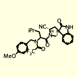 COc1ccc(CN(C(=O)C(F)(F)F)C(CC(C)C)C(=O)N2C[C@]3(C[C@H]2C#N)C(=O)Nc2ccccc23)cc1